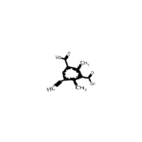 C#Cc1cc(C(=O)O)c(C)c(C(=O)O)c1C